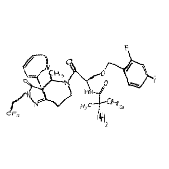 CC1N(C(=O)[C@@H](COCc2ccc(F)cc2F)NC(=O)C(C)(C)N)CCC2=NN(CC(F)(F)F)C(=O)[C@@]21c1ccccn1